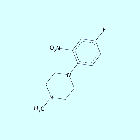 CN1CCN(c2ccc(F)cc2[N+](=O)[O-])CC1